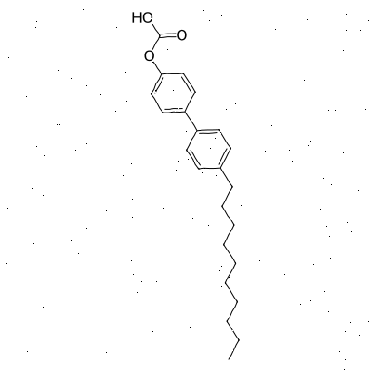 CCCCCCCCCCc1ccc(-c2ccc(OC(=O)O)cc2)cc1